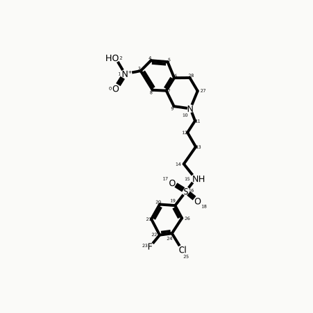 O=[N+](O)c1ccc2c(c1)CN(CCCCNS(=O)(=O)c1ccc(F)c(Cl)c1)CC2